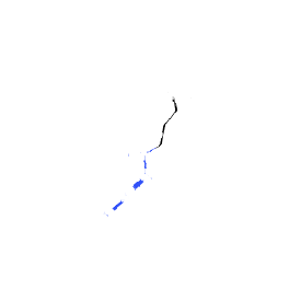 [N-]=[N+]=NNCCCC(=O)O